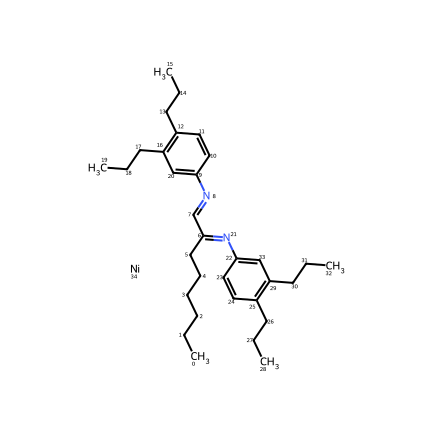 CCCCCCC(C=Nc1ccc(CCC)c(CCC)c1)=Nc1ccc(CCC)c(CCC)c1.[Ni]